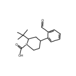 CC(C)(C)C1CC(c2ccccc2C=O)CCN1C(=O)O